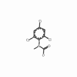 CN(C([O])=O)c1c(Cl)cc(Cl)cc1Cl